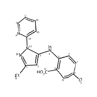 CCc1cc(Nc2ccc(Cl)cc2C(=O)O)n(-c2ccccn2)n1